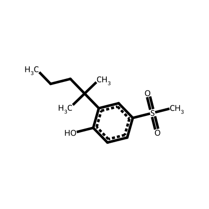 CCCC(C)(C)c1cc(S(C)(=O)=O)ccc1O